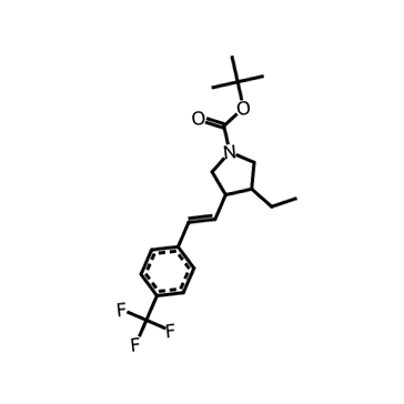 CCC1CN(C(=O)OC(C)(C)C)CC1C=Cc1ccc(C(F)(F)F)cc1